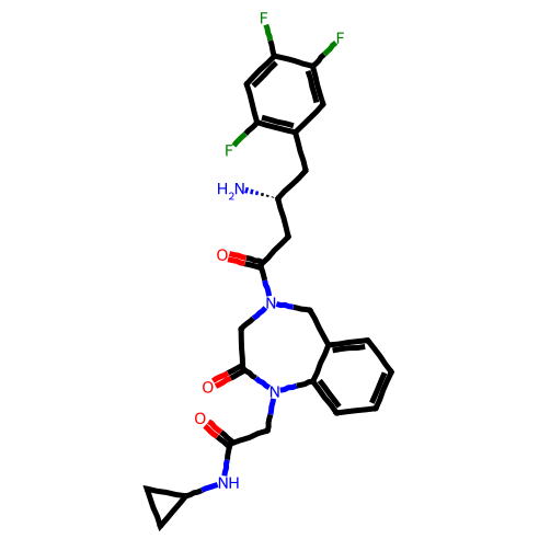 N[C@@H](CC(=O)N1CC(=O)N(CC(=O)NC2CC2)c2ccccc2C1)Cc1cc(F)c(F)cc1F